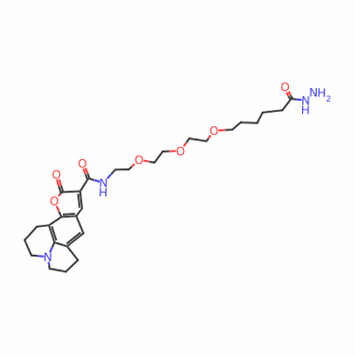 NNC(=O)CCCCCOCCOCCOCCNC(=O)c1cc2cc3c4c(c2oc1=O)CCCN4CCC3